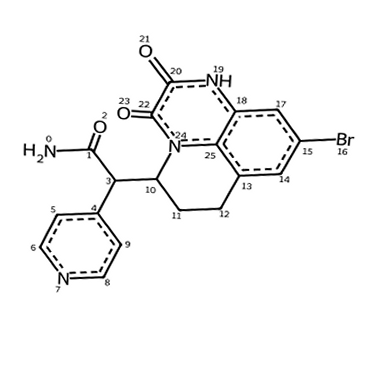 NC(=O)C(c1ccncc1)C1CCc2cc(Br)cc3[nH]c(=O)c(=O)n1c23